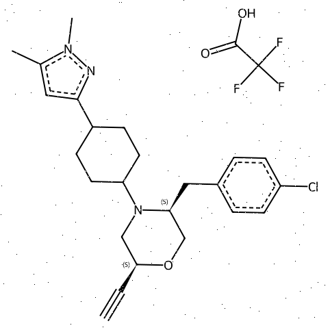 C#C[C@H]1CN(C2CCC(c3cc(C)n(C)n3)CC2)[C@@H](Cc2ccc(Cl)cc2)CO1.O=C(O)C(F)(F)F